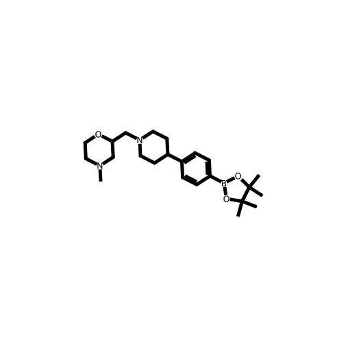 CN1CCOC(CN2CCC(c3ccc(B4OC(C)(C)C(C)(C)O4)cc3)CC2)C1